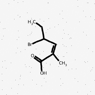 CCC(Br)C=C(C)C(=O)O